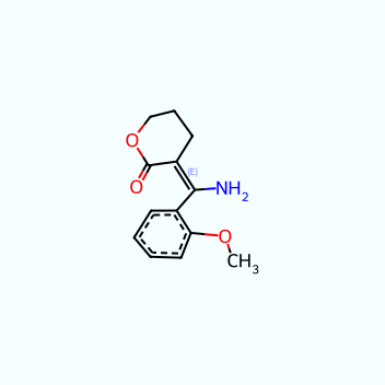 COc1ccccc1/C(N)=C1/CCCOC1=O